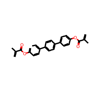 C=C(/C=C\C(=C/C)c1ccc(-c2ccc(OC(=O)C(=C)C)cc2)cc1)OC(=O)C(=C)C